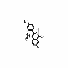 Cc1ccc2c([N+](=O)[O-])c(-c3ccc(Br)cc3)[nH]c(=O)c2c1